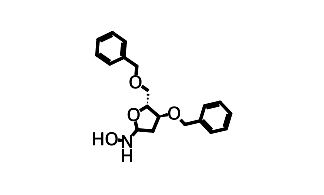 ONC1C[C@H](OCc2ccccc2)[C@@H](COCc2ccccc2)O1